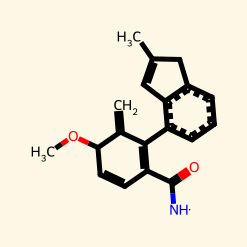 C=C1C(c2cccc3c2C=C(C)C3)=C(C([NH])=O)C=CC1OC